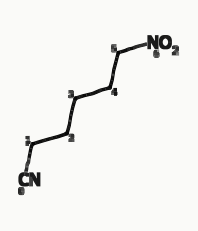 N#C[CH]CCCC[N+](=O)[O-]